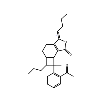 CCC/C=C1\OC(=O)C2=C1CCC1C(CCC)C(C)(C3=C(C(C)=O)C=CCC3)C21